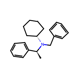 C[C@@H](c1ccccc1)N(Cc1ccccc1)[C@H]1C[CH]CCC1